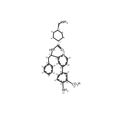 NC[C@H]1CC[C@H](C(=O)NC(Cc2ccccc2)c2cc(-c3ccc(N)c(C(=O)O)c3)ccn2)CC1